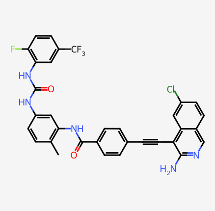 Cc1ccc(NC(=O)Nc2cc(C(F)(F)F)ccc2F)cc1NC(=O)c1ccc(C#Cc2c(N)ncc3ccc(Cl)cc23)cc1